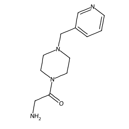 NCC(=O)N1CCN(Cc2cccnc2)CC1